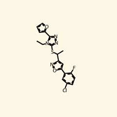 CCn1c(SC(C)c2cc(-c3cc(Cl)ccc3F)on2)nnc1-c1ccco1